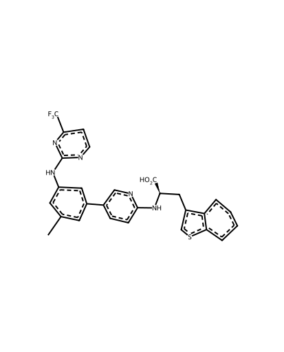 Cc1cc(Nc2nccc(C(F)(F)F)n2)cc(-c2ccc(N[C@H](Cc3csc4ccccc34)C(=O)O)nc2)c1